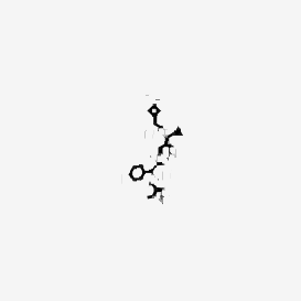 Cc1nocc1C(=O)N[C@H](c1cn2ncc(C(NC(=O)CC3CC(F)(F)C3)C3CC3)cc2n1)C1CCC(F)(F)CC1